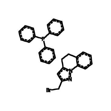 BrCc1cc2n(n1)-c1ccccc1CC2.c1ccc(P(c2ccccc2)c2ccccc2)cc1